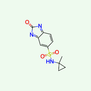 CC1(NS(=O)(=O)c2ccc3c(c2)=NC(=O)N=3)CC1